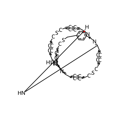 c1cc2ccc1CSCc1ccc(cc1)C1=N[C@H]3NC(=N1)c1ccc(cc1)CSCc1ccc(cc1)C1=NC2=N[C@H](N1)c1ccc(cc1)CSCc1ccc3cc1